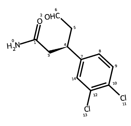 NC(=O)C[C@@H](CC=O)c1ccc(Cl)c(Cl)c1